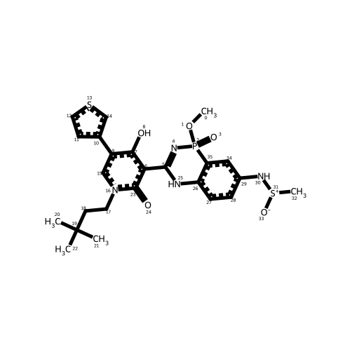 COP1(=O)N=C(c2c(O)c(-c3ccsc3)cn(CCC(C)(C)C)c2=O)Nc2ccc(N[S+](C)[O-])cc21